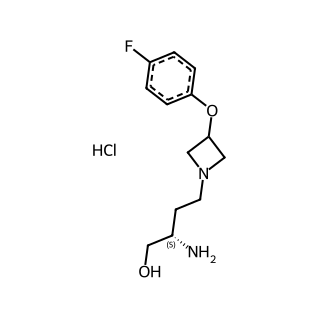 Cl.N[C@H](CO)CCN1CC(Oc2ccc(F)cc2)C1